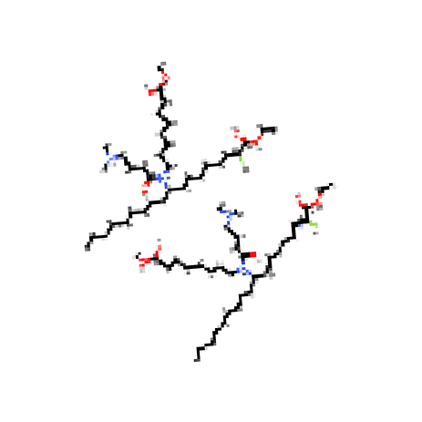 CCCCCCCCCC(CCCCC/C=C(\F)C(=O)OCC)N(CCCCCCCC(=O)OC)C(=O)CCCN(C)C.CCCCCCCCCC(CCCCCCC(F)C(=O)OCC)N(CCCCCCCC(=O)OC)C(=O)CCCN(C)C